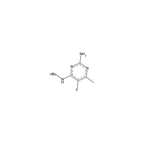 CCCCNc1nc(N)nc(C)c1F